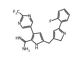 N=C(N)c1[nH]c(CC2=CC(c3ccccc3F)=NC2)cc1-c1cnc(C(F)(F)F)nc1